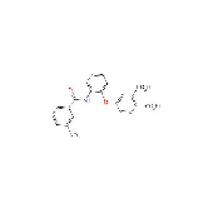 CCOC(=O)c1ccc(Oc2ccccc2NC(=O)c2cccc([N+](=O)[O-])c2)cc1C(=O)O